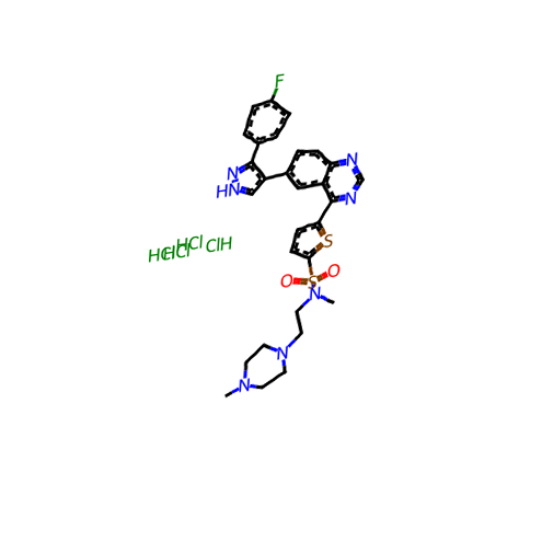 CN1CCN(CCN(C)S(=O)(=O)c2ccc(-c3ncnc4ccc(-c5c[nH]nc5-c5ccc(F)cc5)cc34)s2)CC1.Cl.Cl.Cl.Cl